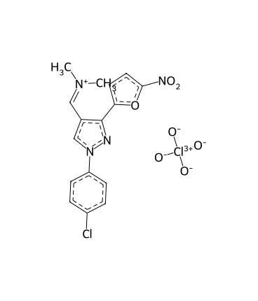 C[N+](C)=Cc1cn(-c2ccc(Cl)cc2)nc1-c1ccc([N+](=O)[O-])o1.[O-][Cl+3]([O-])([O-])[O-]